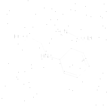 CCOC(=O)CNc1ccccc1.CCOC(N)=O